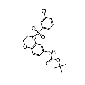 CC(C)(C)OC(=O)Nc1ccc2c(c1)N(S(=O)(=O)c1cccc(Cl)c1)CCO2